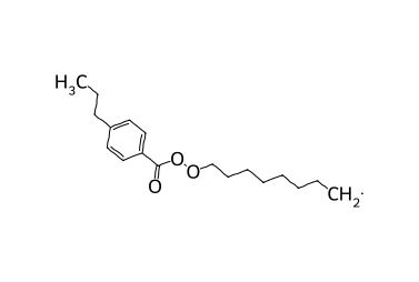 [CH2]CCCCCCCOOC(=O)c1ccc(CCC)cc1